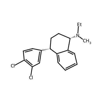 CCN(C)[C@H]1CC[C@@H](c2ccc(Cl)c(Cl)c2)c2ccccc21